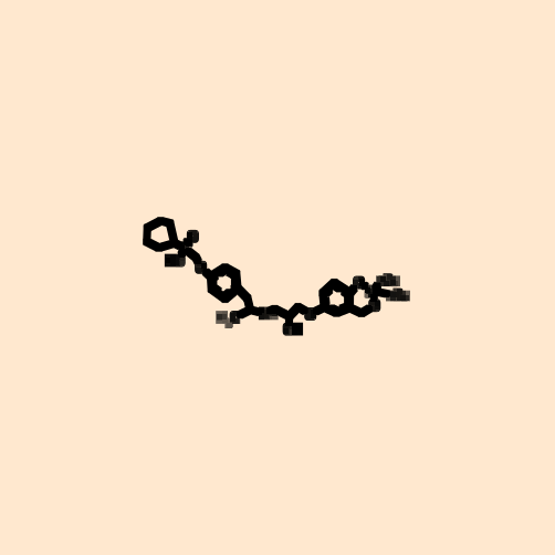 CCCC[Si]1(CCCC)OCc2cc(OCC(O)CNC(C)Cc3ccc(OCP(=O)(O)C4CCCCC4)cc3)ccc2O1